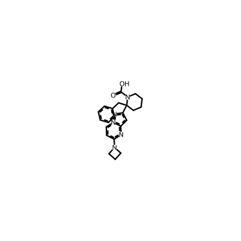 O=C(O)N1CCCCC1(Cc1ccccc1)c1cc2nc(N3CCC3)ccn2n1